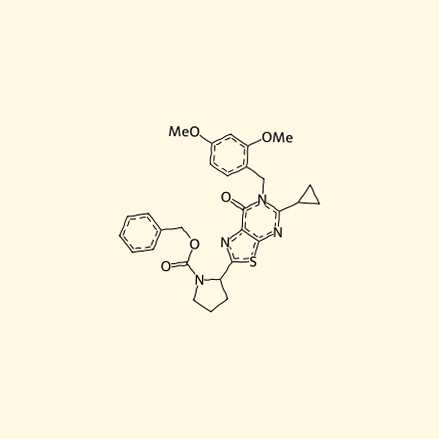 COc1ccc(Cn2c(C3CC3)nc3sc(C4CCCN4C(=O)OCc4ccccc4)nc3c2=O)c(OC)c1